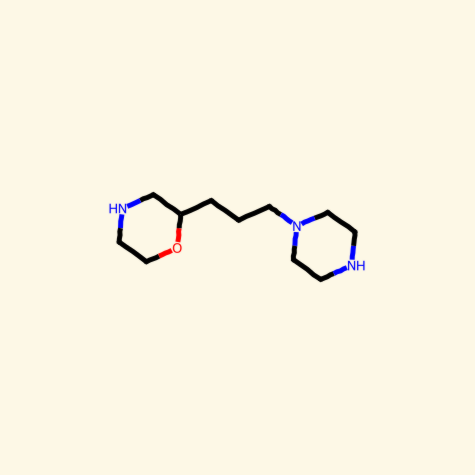 C(CC1CNCCO1)CN1CCNCC1